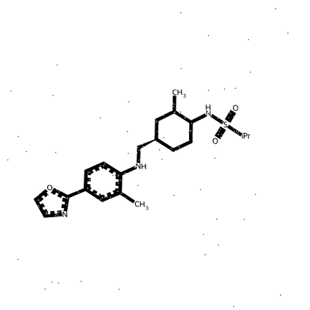 Cc1cc(-c2ncco2)ccc1NC[C@@H]1CCC(NS(=O)(=O)C(C)C)C(C)C1